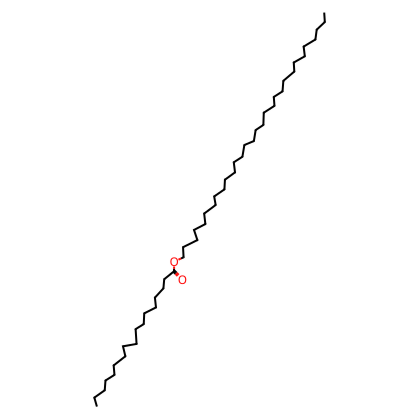 CCCCCCCCCCCCCCCCCCCCCCCCCCCCCCOC(=O)CCCCCCCCCCCCCCCC